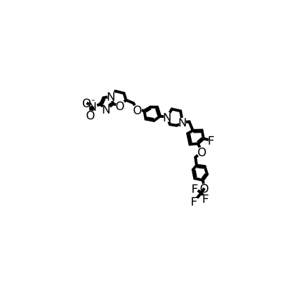 O=[N+]([O-])c1cn2c(n1)OC(COc1ccc(N3CCN(Cc4ccc(OCc5ccc(OC(F)(F)F)cc5)c(F)c4)CC3)cc1)CC2